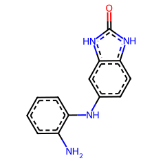 Nc1ccccc1Nc1ccc2[nH]c(=O)[nH]c2c1